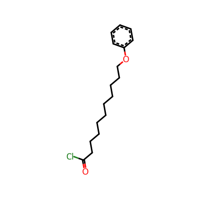 O=C(Cl)CCCCCCCCCCOc1ccccc1